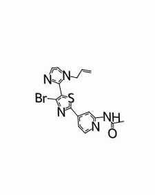 C=CCn1ccnc1-c1sc(-c2ccnc(NC(C)=O)c2)nc1Br